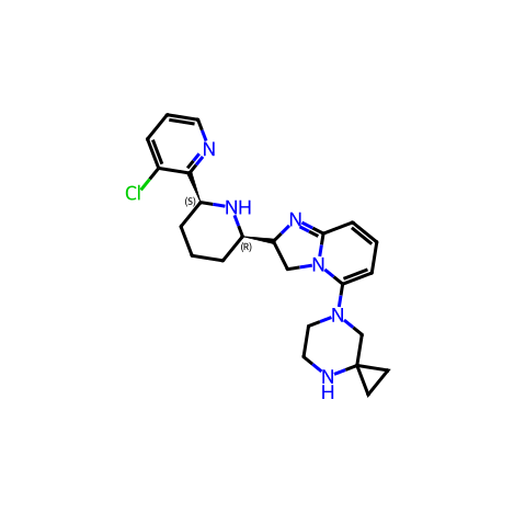 Clc1cccnc1[C@@H]1CCC[C@H](C2CN3C(N4CCNC5(CC5)C4)=CC=CC3=N2)N1